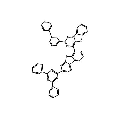 c1ccc(-c2cccc(-c3nc(-c4cccc5c4sc4cc(-c6nc(-c7ccccc7)nc(-c7ccccc7)n6)ccc45)c4sc5ccccc5c4n3)c2)cc1